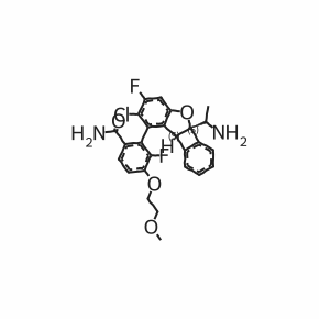 COCCOc1ccc(C(N)=O)c(-c2c(Cl)c(F)cc3c2[C@@H]2c4ccccc4[C@@]2(C(C)N)O3)c1F